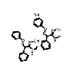 ON=C(B(F)F)C(=NOc1ccccc1)c1ccccc1.ON=C(B(F)F)C(=NOc1ccccc1)c1ccccc1.[Co]